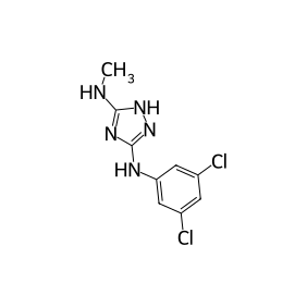 CNc1nc(Nc2cc(Cl)cc(Cl)c2)n[nH]1